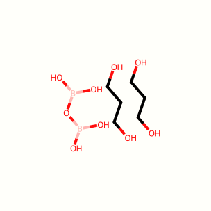 OB(O)OB(O)O.OCCCO.OCCCO